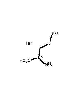 CC(C)(C)SC[C@@H](N)C(=O)O.Cl